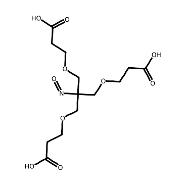 O=NC(COCCC(=O)O)(COCCC(=O)O)COCCC(=O)O